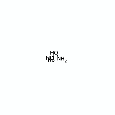 Cl.NO.[No]